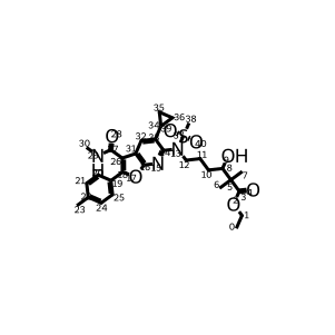 CCOC(=O)C(C)(C)C(O)CCCN(c1nc2oc(-c3ccc(C)cc3)c(C(=O)NC)c2cc1C1CC1)S(C)(=O)=O